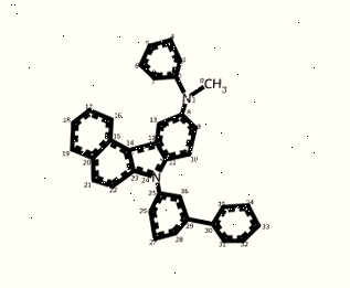 CN(c1ccccc1)c1ccc2c(c1)c1c3ccccc3ccc1n2-c1cccc(-c2ccccc2)c1